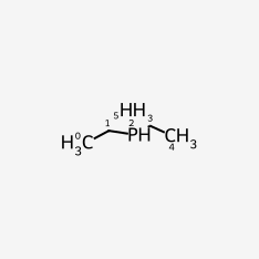 CCPCC.[HH]